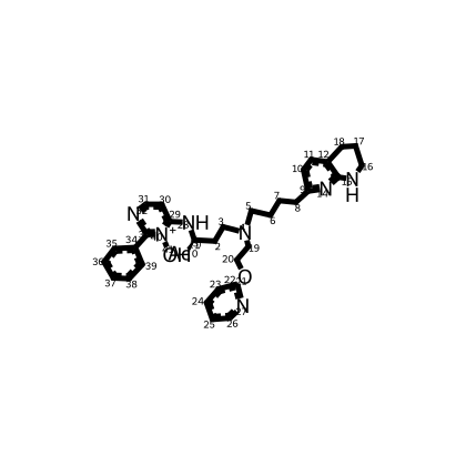 CC(=O)[C@H](CCN(CCCCc1ccc2c(n1)NCCC2)CCOc1ccccn1)Nc1ccnc(-c2ccccc2)[n+]1O